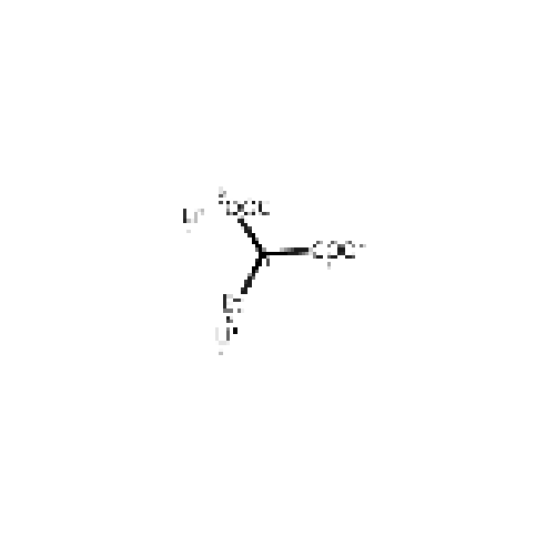 CCC(C(=O)[O-])C(=O)[O-].[Li+].[Li+]